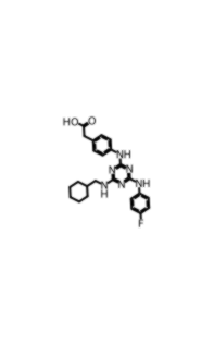 O=C(O)Cc1ccc(Nc2nc(NCC3CCCCC3)nc(Nc3ccc(F)cc3)n2)cc1